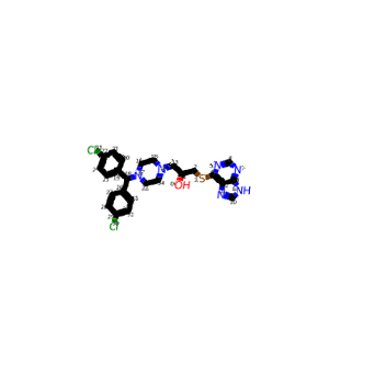 OC(CSc1ncnc2[nH]cnc12)CN1CCN(C(c2ccc(Cl)cc2)c2ccc(Cl)cc2)CC1